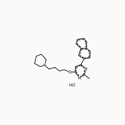 Cc1nc(OCCCCN2CCCCC2)cc(-c2ccc3ccccc3c2)n1.Cl